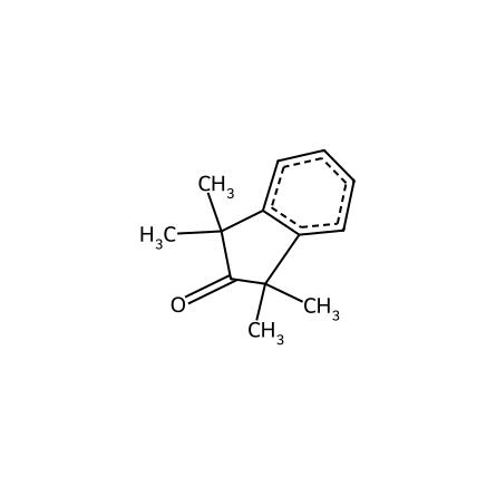 CC1(C)C(=O)C(C)(C)c2ccccc21